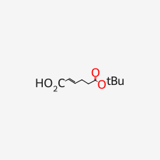 CC(C)(C)OC(=O)CCC=CC(=O)O